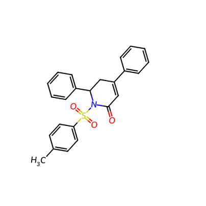 Cc1ccc(S(=O)(=O)N2C(=O)C=C(c3ccccc3)CC2c2ccccc2)cc1